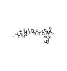 CCCN1CCN(CCOCCCCCCN(C(C)C)[C@H]2C[C@H](OC)C2)CC1